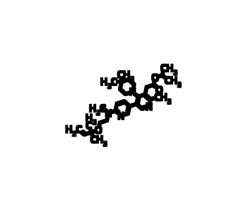 C=CC(C)(C)OCCN(C)c1ccc(-c2cnc(C)c(CC(=O)OC(C)C)c2N2CCC(C)(C)CC2)cn1